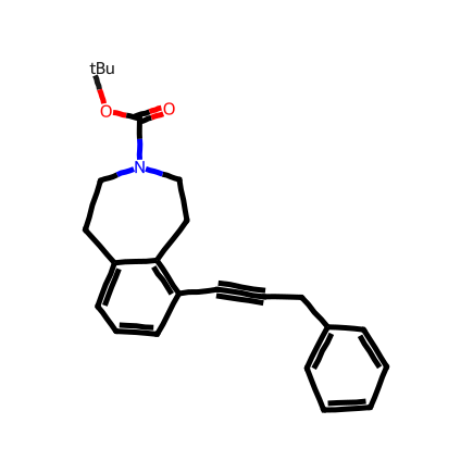 CC(C)(C)OC(=O)N1CCc2cccc(C#CCc3ccccc3)c2CC1